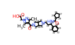 Cc1nn(CC(=O)O)c(C)c1C(=O)N1CC2CN(CCC(NC(=O)C3CCCC3)c3ccccc3)CC2C1